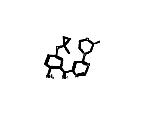 C[C@H]1CN(c2cc(C(=N)c3cc(OC4(C)CC4)ccc3N)ncn2)CCO1